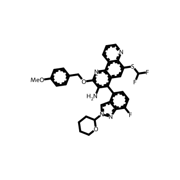 COc1ccc(COc2nc3c(cc(SC(F)F)c4ncccc43)c(-c3ccc(F)c4nn(C5CCCCO5)cc34)c2N)cc1